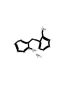 N.Oc1ccccc1Cc1ccccc1O